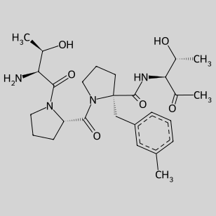 CC(=O)[C@@H](NC(=O)[C@]1(Cc2cccc(C)c2)CCCN1C(=O)[C@@H]1CCCN1C(=O)[C@@H](N)[C@@H](C)O)[C@@H](C)O